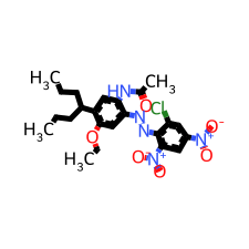 CCCC(CCC)c1cc(NC(C)=O)c(N=Nc2c(Cl)cc([N+](=O)[O-])cc2[N+](=O)[O-])cc1OCC